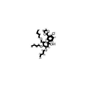 CCCCOC[C@H]1SC(O)(c2ccc(Cl)c(C3OCCO3)c2)C[C@@H](OCCCC)[C@@H]1OCCCC